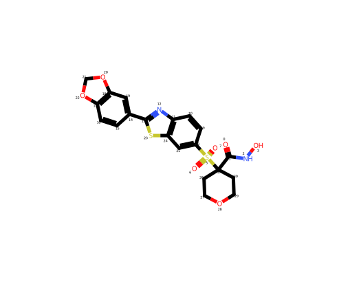 O=C(NO)C1(S(=O)(=O)c2ccc3nc(-c4ccc5c(c4)OCO5)sc3c2)CCOCC1